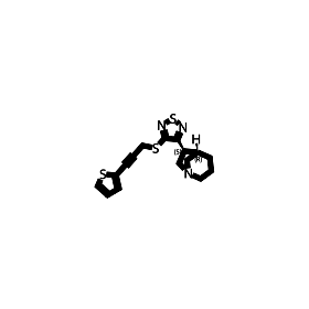 C(#Cc1cccs1)CSc1nsnc1[C@@H]1CN2CCC[C@H]1C2